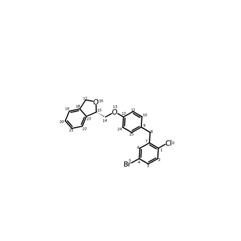 Clc1ccc(Br)cc1Cc1ccc(OC[C@H]2OCc3ccccc32)cc1